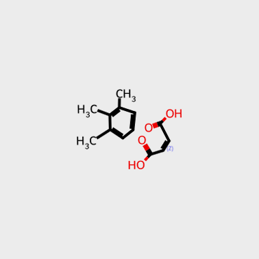 Cc1cccc(C)c1C.O=C(O)/C=C\C(=O)O